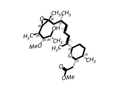 COC(=O)C[C@@H]1O[C@H](/C(C)=C/C=C/[C@@H](C)C[C@@]2(C)O[C@@H]2[C@H](C)[C@@H](OC)[C@@H](C)O)CC[C@@H]1C